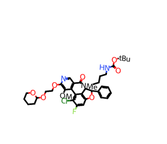 CNC(=O)c1cnc(OCCOC2CCCCO2)c(OC)c1-c1c(Cl)c(F)cc2c1C[C@@](CCCCNC(=O)OC(C)(C)C)(c1ccccc1)O2